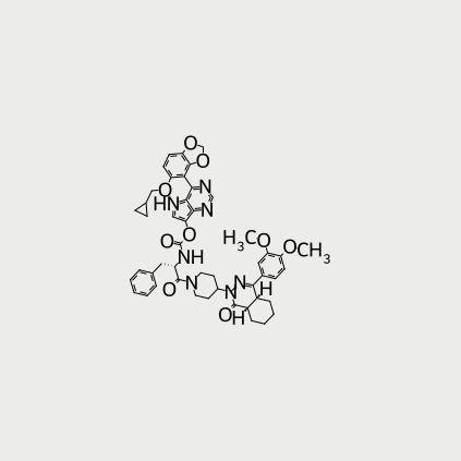 COc1ccc(C2=NN(C3CCN(C(=O)[C@H](Cc4ccccc4)NC(=O)Oc4c[nH]c5c(-c6c(OCC7CC7)ccc7c6OCO7)ncnc45)CC3)C(=O)[C@H]3CCCC[C@@H]23)cc1OC